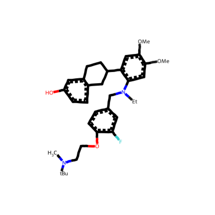 CCN(Cc1ccc(OCCN(C)C(C)(C)C)c(F)c1)c1cc(OC)c(OC)cc1C1CCc2cc(O)ccc2C1